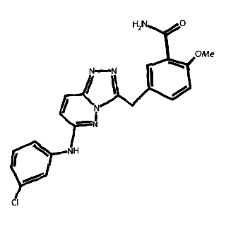 COc1ccc(Cc2nnc3ccc(Nc4cccc(Cl)c4)nn23)cc1C(N)=O